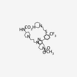 CS(=O)(=O)N1CCc2c(c(-c3ccc(C(F)(F)F)c(SCCN4CCCCC4)c3)nn2CCCN2CCC(NC(=O)O)CC2)C1